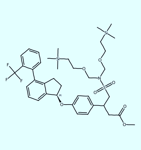 COC(=O)CC(CS(=O)(=O)N(COCC[Si](C)(C)C)COCC[Si](C)(C)C)c1ccc(O[C@@H]2CCc3c(-c4ccccc4C(F)(F)F)cccc32)cc1